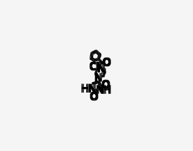 O=C(c1ccccc1C(F)(F)F)N1CCN(c2c[nH]c(=O)[nH]c2=O)CC1